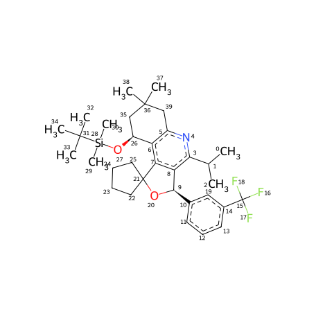 CC(C)c1nc2c(c3c1[C@@H](c1cccc(C(F)(F)F)c1)OC31CCCC1)[C@@H](O[Si](C)(C)C(C)(C)C)CC(C)(C)C2